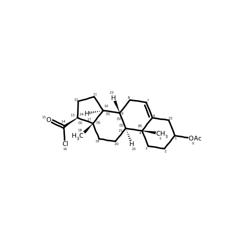 CC(=O)OC1CC[C@@]2(C)C(=CC[C@H]3[C@@H]4CC[C@H](C(=O)Cl)[C@@]4(C)CC[C@@H]32)C1